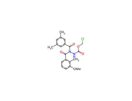 COc1cccc(C(=O)N(NC(=O)OCCl)C(=O)c2cc(C)cc(C)c2)c1C